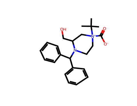 CC(C)(C)[N+]1(C(=O)[O-])CCN(C(c2ccccc2)c2ccccc2)C(CO)C1